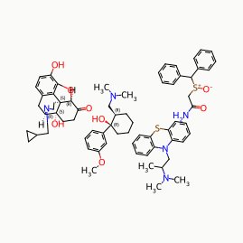 CC(CN1c2ccccc2Sc2ccccc21)N(C)C.COc1cccc([C@@]2(O)CCCC[C@@H]2CN(C)C)c1.NC(=O)C[S+]([O-])C(c1ccccc1)c1ccccc1.O=C1CC[C@@]2(O)[C@H]3Cc4ccc(O)c5c4[C@@]2(CCN3CC2CC2)[C@H]1O5